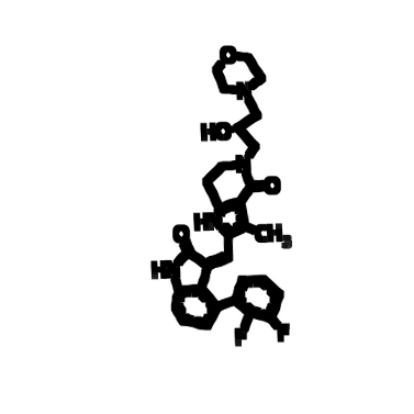 Cc1c(C=C2C(=O)Nc3cccc(-c4cccc(F)c4F)c32)[nH]c2c1C(=O)N(C[C@H](O)CN1CCOCC1)CC2